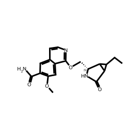 CCC1C2C(=O)N[C@H](COc3nccc4cc(C(N)=O)c(OC)cc34)C12